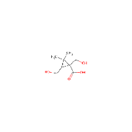 CC1(C)C(CO)C1(CO)C(=O)O